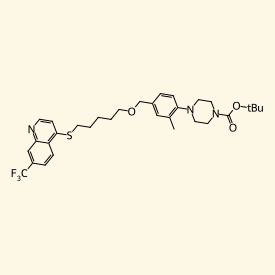 Cc1cc(COCCCCCSc2ccnc3cc(C(F)(F)F)ccc23)ccc1N1CCN(C(=O)OC(C)(C)C)CC1